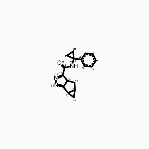 O=C(NC1(c2ccccc2)CC1)C1=NN=C2C1CC1CC21